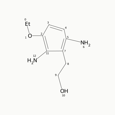 CCOc1ccc(N)c(CCO)c1N